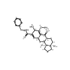 O=C(NCc1ccccc1)C1=CN2C[C@H]3N(CC[C@H]4CCCN43)C(=O)C2=C(OP)C1O